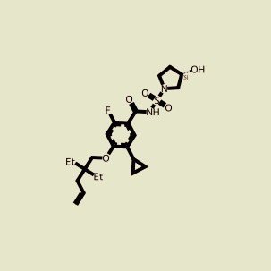 C=CCC(CC)(CC)COc1cc(F)c(C(=O)NS(=O)(=O)N2CC[C@H](O)C2)cc1C1CC1